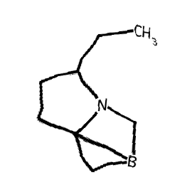 CCC1CC2B3CC2N1C3